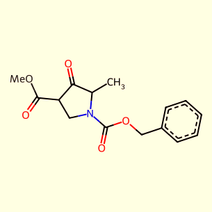 COC(=O)C1CN(C(=O)OCc2ccccc2)C(C)C1=O